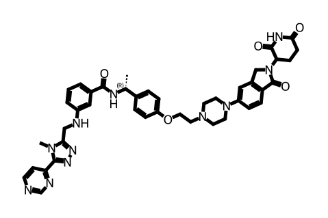 C[C@@H](NC(=O)c1cccc(NCc2nnc(-c3ccncn3)n2C)c1)c1ccc(OCCN2CCN(c3ccc4c(c3)CN(C3CCC(=O)NC3=O)C4=O)CC2)cc1